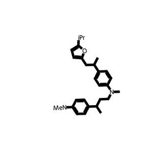 CNc1ccc(C(C)CCN(C)c2ccc(C(C)Cc3ccc(C(C)C)o3)cc2)cc1